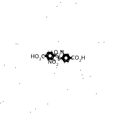 O=C(O)c1ccc(SSc2ccc(C(=O)O)cc2[N+](=O)[O-])c([N+](=O)[O-])c1